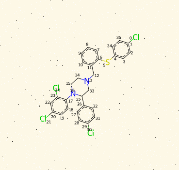 Clc1ccc(Sc2ccccc2CN2CCN(c3ccc(Cl)cc3Cl)C(c3ccc(Cl)cc3)C2)cc1